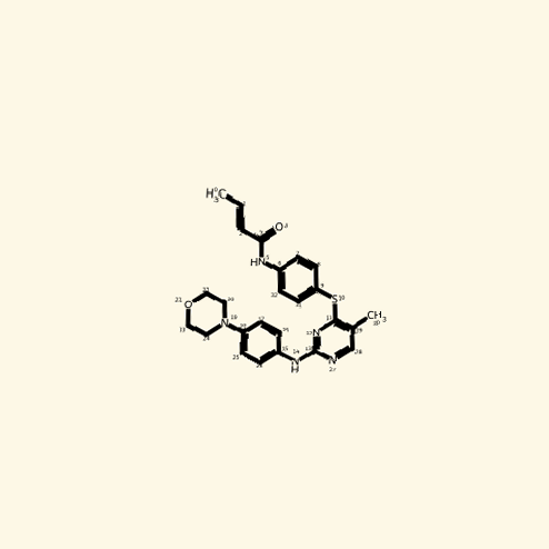 CC=CC(=O)Nc1ccc(Sc2nc(Nc3ccc(N4CCOCC4)cc3)ncc2C)cc1